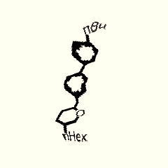 CCCCCCC1CCC(c2ccc(-c3ccc(CCCC)cc3)cc2)OC1